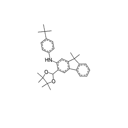 CC(C)(C)c1ccc(Nc2cc3c(cc2C2OC(C)(C)C(C)(C)O2)-c2ccccc2C3(C)C)cc1